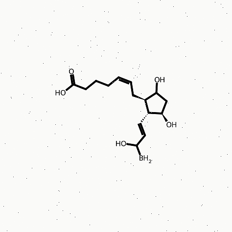 BC(O)/C=C/[C@H]1[C@H](O)CC(O)[C@@H]1C/C=C\CCCC(=O)O